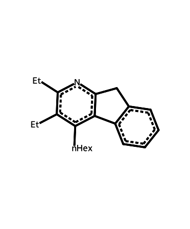 CCCCCCc1c(CC)c(CC)nc2c1-c1ccccc1C2